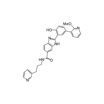 COc1ncccc1-c1ccc(O)c(-c2nc3ccc(C(=O)NCCCc4cccnc4)cc3[nH]2)c1